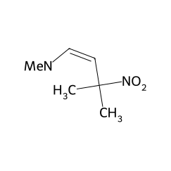 CN/C=C\C(C)(C)[N+](=O)[O-]